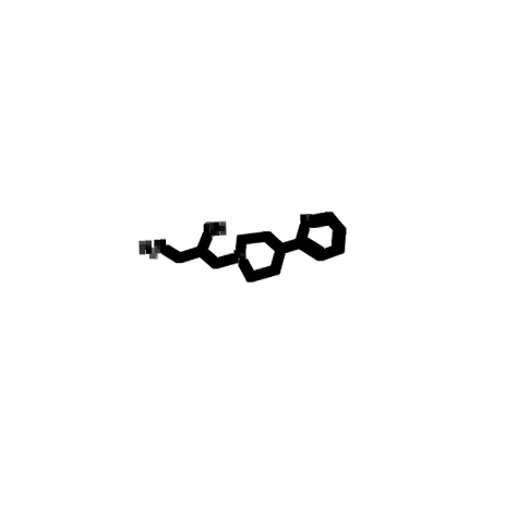 NCC(O)CN1CCC(c2ccccn2)CC1